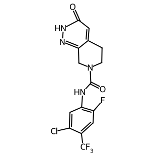 O=C(Nc1cc(Cl)c(C(F)(F)F)cc1F)N1CCc2cc(=O)[nH]nc2C1